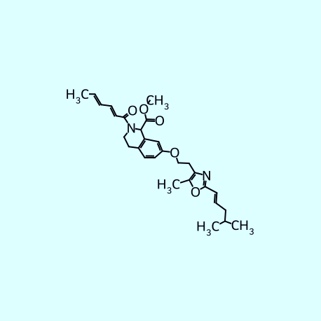 CC=CC=CC(=O)N1CCc2ccc(OCCc3nc(/C=C/CC(C)C)oc3C)cc2C1C(=O)OC